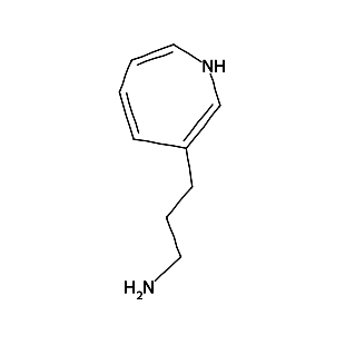 NCCCC1=CNC=CC=C1